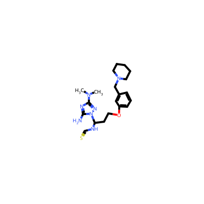 CN(C)c1nc(N)n(C(CCOc2cccc(CN3CCCCC3)c2)NC=S)n1